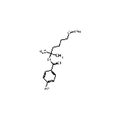 CC(=O)c1ccc(C(=O)OC(C)(C)CCCCOC(C)(C)C)cc1